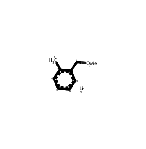 COCc1ccccc1C.[Li]